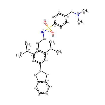 CC(C)c1cc(C2Cc3ccccc3C2)cc(C(C)C)c1CCNS(=O)(=O)c1ccc(CN(C)C)cc1